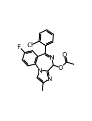 CC(=O)OC1N=C(c2ccccc2Cl)c2cc(F)ccc2-n2cc(C)nc21